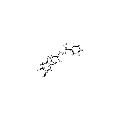 O=C(OCC1OC2CC1Oc1nc(=O)c(F)cn12)c1ccccc1